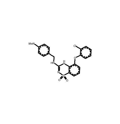 CNc1ccc(CNC2=NS(=O)(=O)c3cccc(Oc4ccccc4Cl)c3N2)cc1